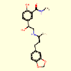 CNC(=O)c1cc(C(O)CNC(C)CCc2ccc3c(c2)OCO3)ccc1O